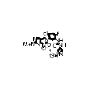 CNc1ncc2c(n1)N(C)C(=O)N(c1cc(NC(=O)Nc3cnn(C(C)(C)C)c3)c(F)cc1Cl)C2